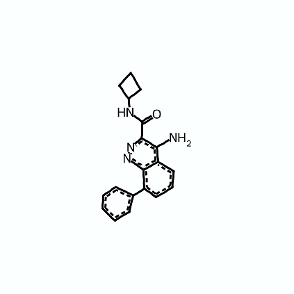 Nc1c(C(=O)NC2CCC2)nnc2c(-c3ccccc3)cccc12